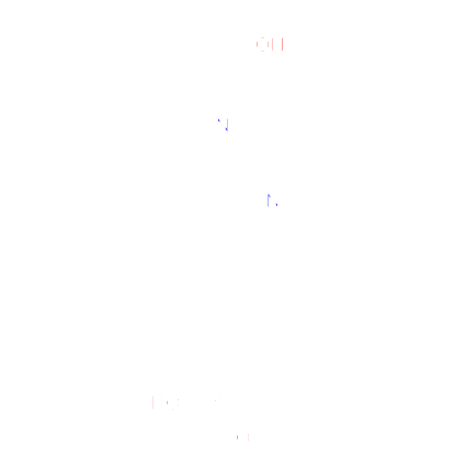 CC(O)CN1CCN(Cc2ccc(C(=O)O)cc2)CC1